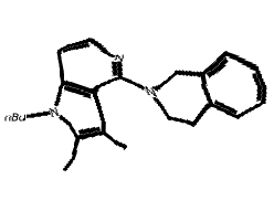 CCCCn1c(C)c(C)c2c(N3CCc4ccccc4C3)nccc21